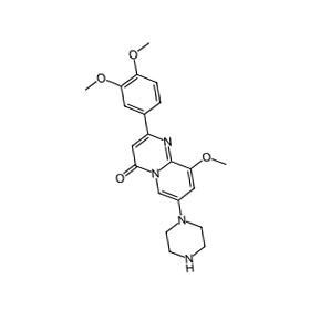 COc1ccc(-c2cc(=O)n3cc(N4CCNCC4)cc(OC)c3n2)cc1OC